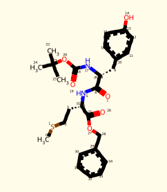 CSCC[C@H](NC(=O)[C@@H](Cc1ccc(O)cc1)NC(=O)OC(C)(C)C)C(=O)OCc1ccccc1